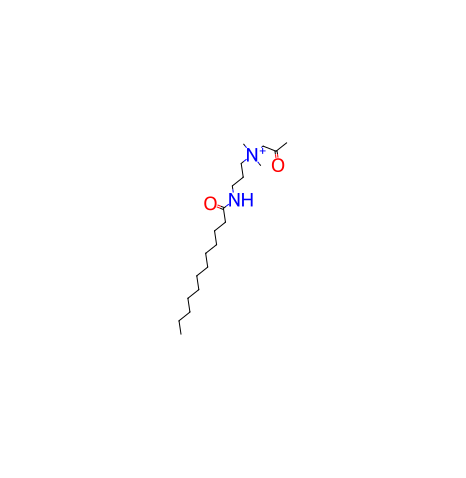 CCCCCCCCCCCC(=O)NCCC[N+](C)(C)CC(C)=O